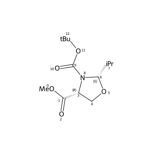 COC(=O)[C@H]1CO[C@@H](C(C)C)N1C(=O)OC(C)(C)C